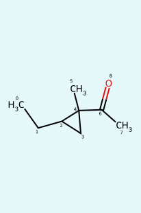 CCC1CC1(C)C(C)=O